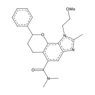 COCCn1c(C)nc2cc(C(=O)N(C)C)c3c(c21)OC(c1ccccc1)CC3